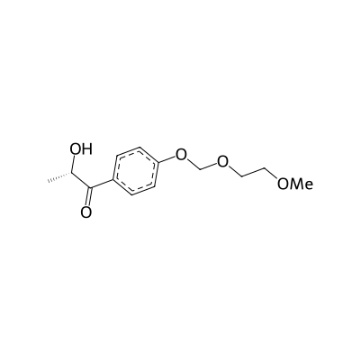 COCCOCOc1ccc(C(=O)[C@H](C)O)cc1